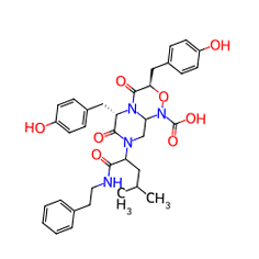 CC(C)CC(C(=O)NCCc1ccccc1)N1CC2N(C(=O)O)O[C@H](Cc3ccc(O)cc3)C(=O)N2[C@@H](Cc2ccc(O)cc2)C1=O